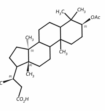 CC(=O)O[C@H]1CCC2(C)C3CC[C@]4(C)C([C@H](C)CC(=O)O)CC[C@@]4(C)C3CCC2C1(C)C